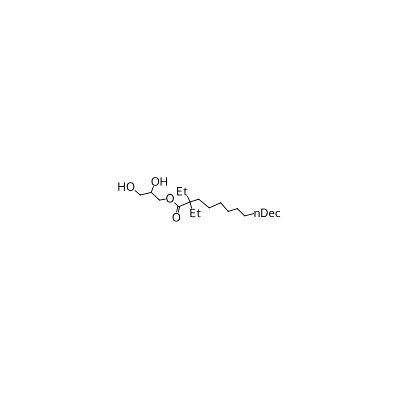 CCCCCCCCCCCCCCCCC(CC)(CC)C(=O)OCC(O)CO